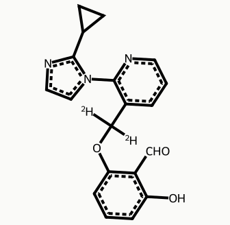 [2H]C([2H])(Oc1cccc(O)c1C=O)c1cccnc1-n1ccnc1C1CC1